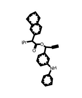 C#CC(OC(=O)C(c1ccc2ccccc2c1)C(C)C)c1cccc(Nc2ccccc2)c1